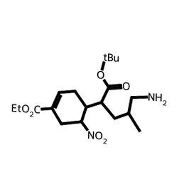 CCOC(=O)C1=CCC(C(CC(C)CN)C(=O)OC(C)(C)C)C([N+](=O)[O-])C1